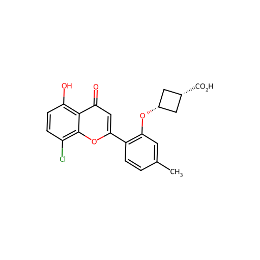 Cc1ccc(-c2cc(=O)c3c(O)ccc(Cl)c3o2)c(O[C@H]2C[C@@H](C(=O)O)C2)c1